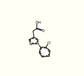 O=C(O)Cc1cnn(-c2ccccc2Cl)c1